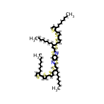 CCCCCCCCc1ccsc1-c1ccc(-c2ccc(-c3sc(-c4nc5cc6sc(-c7cc(CCCCCCCC)c(-c8ccc(-c9ccc(-c%10sccc%10CCCCCCCC)s9)s8)s7)nc6cc5s4)cc3CCCCCCCC)s2)s1